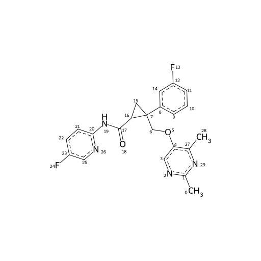 Cc1ncc(OCC2(c3cccc(F)c3)CC2C(=O)Nc2ccc(F)cn2)c(C)n1